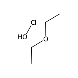 CCOCC.OCl